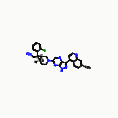 COc1ccc2c(-c3n[nH]c4nc(N5CC[C@@H]6[C@H](C5)[C@@]6(CN)c5ccccc5F)cnc34)ccnc2c1